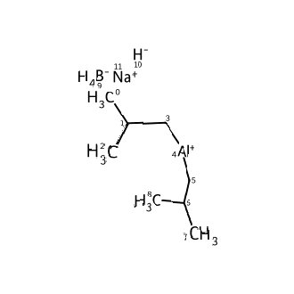 CC(C)[CH2][Al+][CH2]C(C)C.[BH4-].[H-].[Na+]